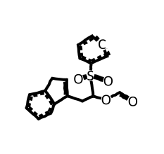 O=COC(CC1=CCc2ccccc21)S(=O)(=O)c1ccccc1